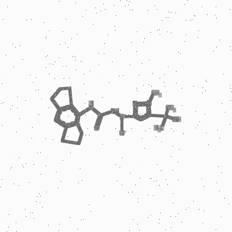 Cn1nc([S+]([O-])NC(=O)Nc2c3c(cc4c2CCC4)CCC3)cc1C(C)(C)O